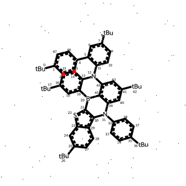 CC(C)(C)c1ccc(-c2cc(C(C)(C)C)ccc2N2c3ccc(C(C)(C)C)cc3B3c4sc5cc(C(C)(C)C)ccc5c4N(c4ccc(C(C)(C)C)cc4)c4cc(C(C)(C)C)cc2c43)cc1